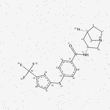 O=C(N[C@@H]1C[C@H]2CCN(C2)C1)c1ccc(Sc2ccc(C(F)(F)F)s2)cc1